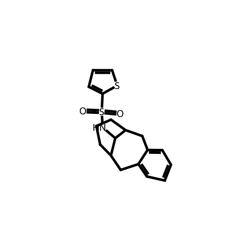 O=S(=O)(NC1C2CCCC1Cc1ccccc1C2)c1cccs1